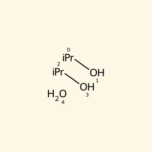 CC(C)O.CC(C)O.O